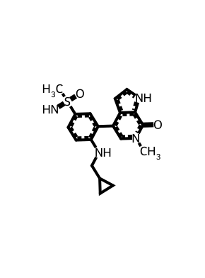 Cn1cc(-c2cc(S(C)(=N)=O)ccc2NCC2CC2)c2cc[nH]c2c1=O